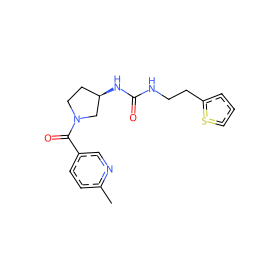 Cc1ccc(C(=O)N2CC[C@@H](NC(=O)NCCc3cccs3)C2)cn1